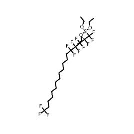 CCO[Si](OCC)(OCC)C(F)(F)C(F)(F)C(F)(F)C(F)(F)C(F)(F)CCCCCCCCCCCCC(F)(F)F